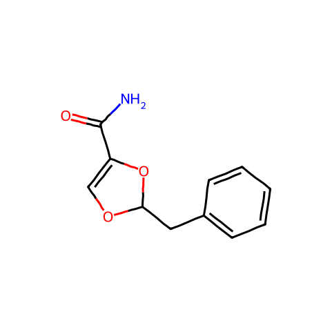 NC(=O)C1=COC(Cc2ccccc2)O1